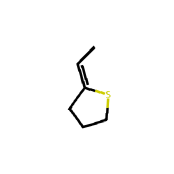 CC=C1CCCS1